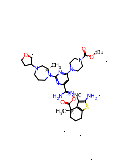 C[C@H]1CN(C2CCOC2)CCCN1c1nc(/C(N)=N/OC(=O)[C@@]2(C)CCCc3sc(N)c(C#N)c32)cc(N2CCN(C(=O)OC(C)(C)C)CC2)n1